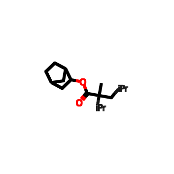 CC(C)CC(C)(C(=O)OC1CC2CCC1C2)C(C)C